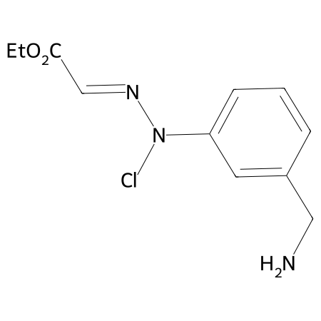 CCOC(=O)C=NN(Cl)c1cccc(CN)c1